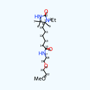 CCN1C(=O)NC(C)(C)C1(C)CCCCCC(=O)NCCOCCOC